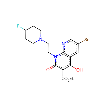 CCOC(=O)c1c(O)c2cc(Br)cnc2n(CCN2CCC(F)CC2)c1=O